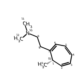 C[C@H]1C=CC=CC=C1CCN(C)C